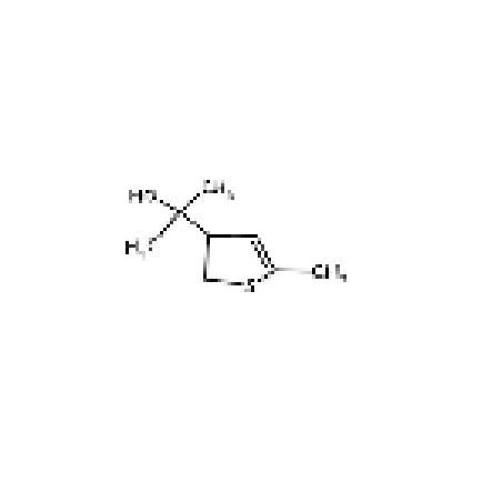 CC1=CC(C(C)(C)O)CS1